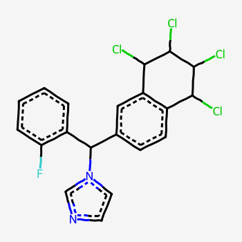 Fc1ccccc1C(c1ccc2c(c1)C(Cl)C(Cl)C(Cl)C2Cl)n1ccnc1